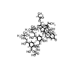 CC(C)(C)NCC(O)c1ccc(O)c(CO)c1.CC(C)(C)NCC(O)c1ccc(O)c(CO)c1.CCC(=O)OCC(=O)[C@@]1(OC(=O)CC)[C@@H](C)C[C@H]2[C@@H]3CCC4=CC(=O)C=C[C@]4(C)[C@@]3(Cl)[C@@H](O)C[C@@]21C.O=S(=O)(O)O